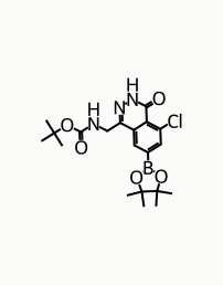 CC(C)(C)OC(=O)NCc1n[nH]c(=O)c2c(Cl)cc(B3OC(C)(C)C(C)(C)O3)cc12